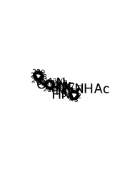 CC(=O)Nc1cccc(Nc2ncnc(N3CCC(Oc4ccccc4)CC3)n2)c1C